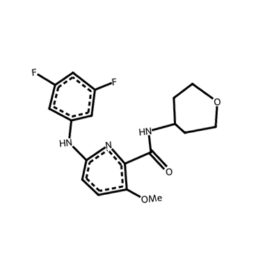 COc1ccc(Nc2cc(F)cc(F)c2)nc1C(=O)NC1CCOCC1